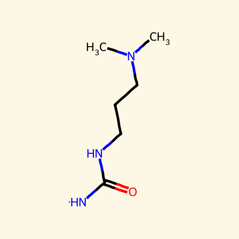 CN(C)CCCNC([NH])=O